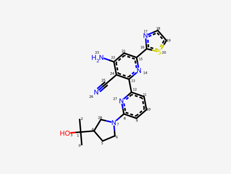 CC(C)(O)C1CCN(c2cccc(-c3nc(-c4nccs4)cc(N)c3C#N)n2)C1